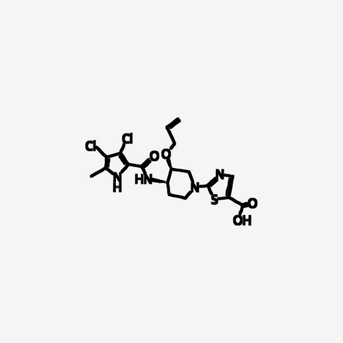 C=CCO[C@H]1CN(c2ncc(C(=O)O)s2)CC[C@H]1NC(=O)c1[nH]c(C)c(Cl)c1Cl